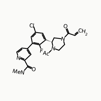 C=CC(=O)N1CCN(C(C)=O)[C@H](c2cc(Cl)cc(-c3ccnc(C(=O)NC)c3)c2F)C1